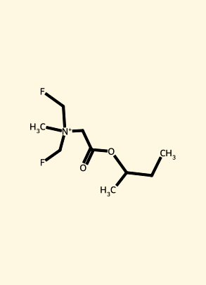 CCC(C)OC(=O)C[N+](C)(CF)CF